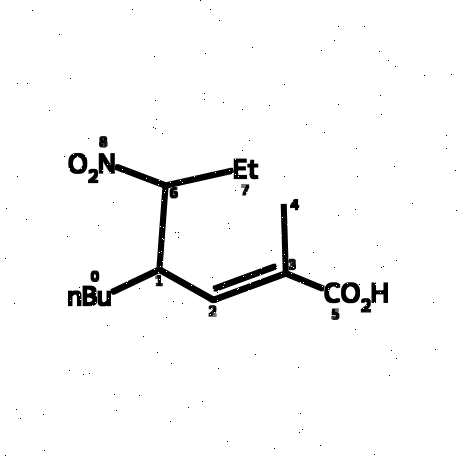 CCCCC(C=C(C)C(=O)O)C(CC)[N+](=O)[O-]